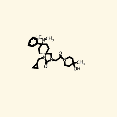 CN(C)[C@]1(c2ccccc2)CC[C@]2(CC1)CN(CC(=O)N1CCC(C)(O)CC1)C(=O)N2CC1CC1